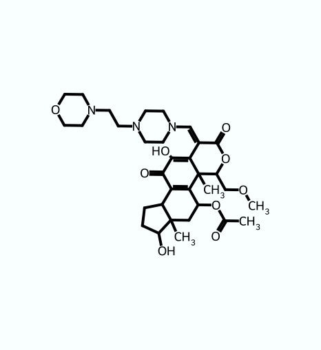 COCC1OC(=O)/C(=C/N2CCN(CCN3CCOCC3)CC2)C2=C(O)C(=O)C3=C(C(OC(C)=O)CC4(C)C(O)CCC34)C21C